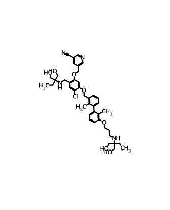 CCC(CO)(CO)NCCCOc1cccc(-c2cccc(COc3cc(OCc4cncc(C#N)c4)c(CNC(CC)(CO)CO)cc3Cl)c2C)c1C